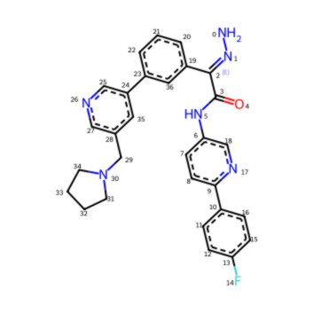 N/N=C(/C(=O)Nc1ccc(-c2ccc(F)cc2)nc1)c1cccc(-c2cncc(CN3CCCC3)c2)c1